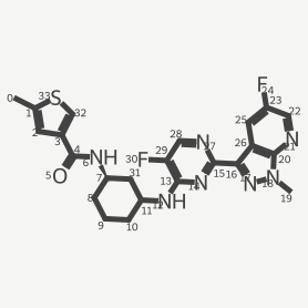 Cc1cc(C(=O)N[C@@H]2CCCC(Nc3nc(-c4nn(C)c5ncc(F)cc45)ncc3F)C2)cs1